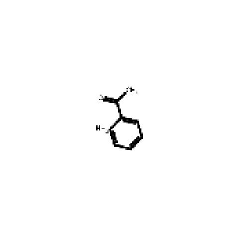 CC(=O)c1cc[c]cc1.N